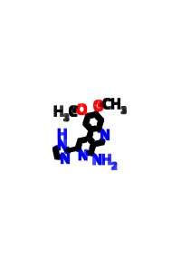 COc1cc2ncc3c(N)nc(-c4ncc[nH]4)cc3c2cc1OC